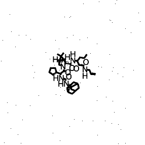 C=CCNC(=O)C(=O)C(CCC)NC(=O)[C@@H]1[C@@H]2[C@H](CN1C(=O)C(NC(=O)NC13CC4CC(CC(C4)C1)C3)C1CCCC1)C2(C)C